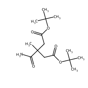 CC(C)(C)OC(=O)CC(C)(CC(=O)OC(C)(C)C)C(N)=O